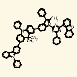 Cc1c(-c2ccccc2)c2cc(-c3ccc4c(c3)C(C)(C)c3cc(-c5ccc6c(c5)c5ccccc5n6-c5ccccc5)ccc3N4c3ccccc3)ccc2n1-c1nc(-c2ccccc2)nc(-c2cccc3oc4ccccc4c23)n1